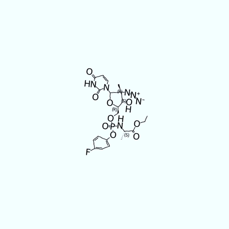 CCOC(=O)[C@H](C)NP(=O)(OC[C@H]1OC(n2ccc(=O)[nH]c2=O)[C@](C)(N=[N+]=[N-])[C@@H]1O)Oc1ccc(F)cc1